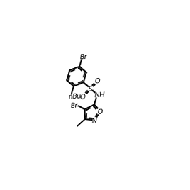 CCCCc1ccc(Br)cc1S(=O)(=O)Nc1onc(C)c1Br